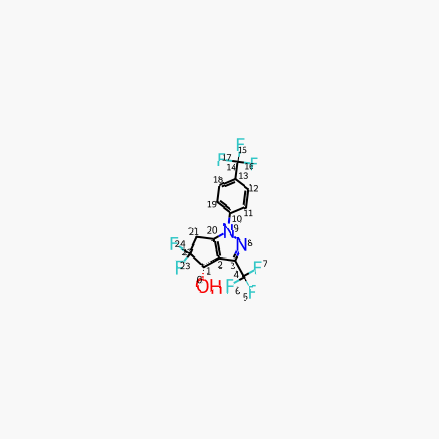 O[C@H]1c2c(C(F)(F)F)nn(-c3ccc(C(F)(F)F)cc3)c2CC1(F)F